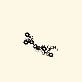 CCC(CC(CNC(=O)c1ccccc1)c1ccccc1)N1CCC(C(=O)c2nc3c(C(=O)c4nc5ccccc5n4CC=C(C)C)cccc3[nH]2)CC1